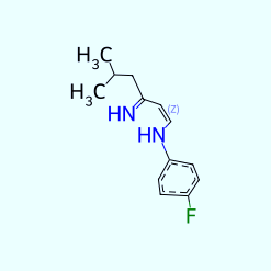 CC(C)CC(=N)/C=C\Nc1ccc(F)cc1